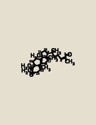 C/C(C=O)=C/CCC(C)[C@@H]1CC[C@]2(C)C3=C(CC[C@@]12C)[C@@]1(C)CCC(=O)C(C)(C)C1CC3